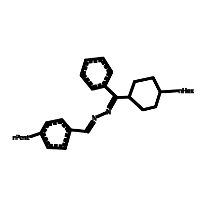 CCCCCCC1CCC(C(=NN=Cc2ccc(CCCCC)cc2)c2ccccc2)CC1